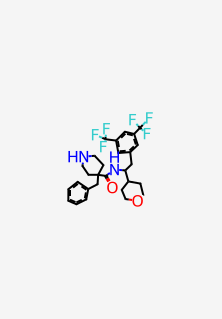 O=C(NC(Cc1cc(C(F)(F)F)cc(C(F)(F)F)c1)C1CCOCC1)C1(Cc2ccccc2)CCNCC1